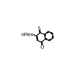 CCCCCCC1=CC(=O)c2ccccc2C1=S